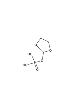 O=P(O)(O)OC1OCCO1